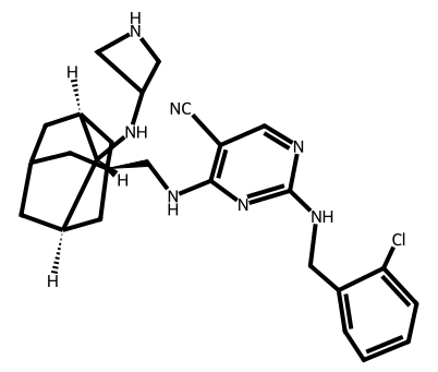 N#Cc1cnc(NCc2ccccc2Cl)nc1NC[C@]12CC3C[C@H](C1)[C@@H](NC1CNC1)[C@@H](C3)C2